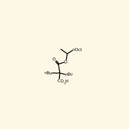 CCCCCCCCC(C)OC(=O)C(CCCC)(CCCC)C(=O)O